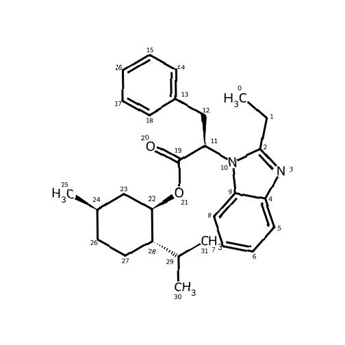 CCc1nc2ccccc2n1[C@H](Cc1ccccc1)C(=O)O[C@@H]1C[C@H](C)CC[C@H]1C(C)C